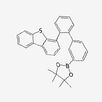 CC1(C)OB(c2cccc(-c3ccccc3-c3cccc4c3sc3ccccc34)c2)OC1(C)C